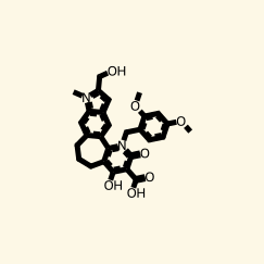 COc1ccc(Cn2c3c(c(O)c(C(=O)O)c2=O)CCCc2cc4c(cc2-3)cc(CO)n4C)c(OC)c1